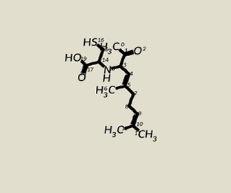 CC(=O)C(/C=C(\C)CCC=C(C)C)NC(CS)C(=O)O